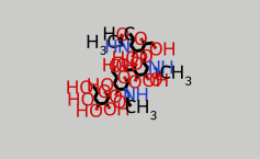 CC(=O)NC1C(C)OC(CO)C(OC2OC(CO)C(OC3OC(CO)C(O)C(OC4OC(CO)C(O)C(O)C4O)C3NC(C)=O)C(O)C2NC(C)=O)C1O